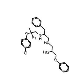 CCC(C)(CNC(CNCC(O)COc1ccccc1)Cc1ccccc1)Oc1ccc(Cl)cc1